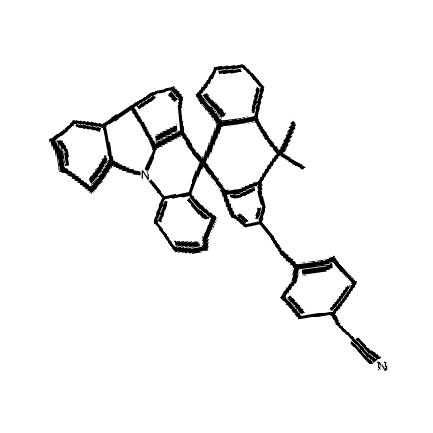 CC1(C)c2ccccc2C2(c3ccccc3-n3c4ccccc4c4cccc2c43)c2ccc(-c3ccc(C#N)cc3)cc21